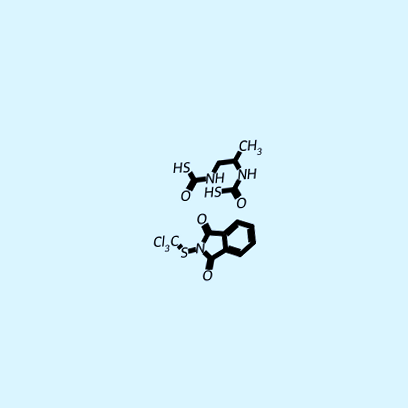 CC(CNC(=O)S)NC(=O)S.O=C1c2ccccc2C(=O)N1SC(Cl)(Cl)Cl